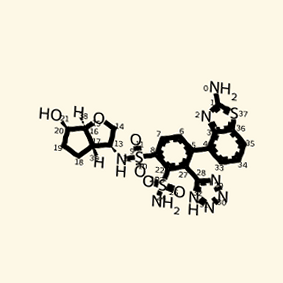 Nc1nc2c(-c3ccc(S(=O)(=O)N[C@H]4CO[C@H]5[C@H]4CC[C@H]5O)c(S(N)(=O)=O)c3-c3nnn[nH]3)cccc2s1